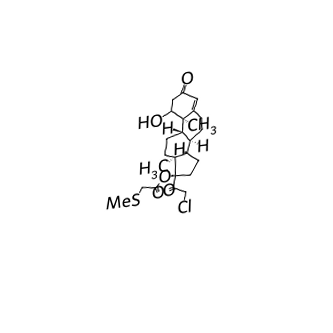 CSCC(=O)O[C@]1(C(=O)CCl)CC[C@H]2[C@@H]3CCC4=CC(=O)CC(O)[C@]4(C)[C@H]3CC[C@@]21C